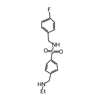 CCNCc1ccc(S(=O)(=O)NCc2ccc(F)cc2)cc1